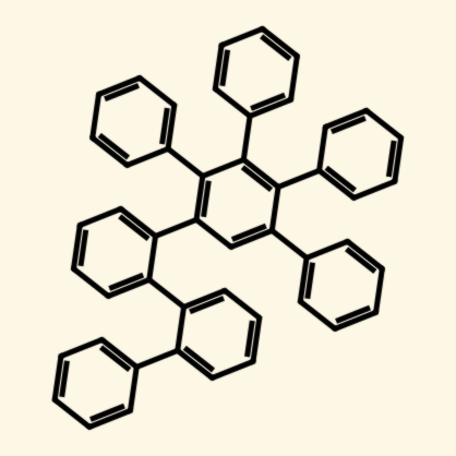 c1ccc(-c2ccccc2-c2ccccc2-c2cc(-c3ccccc3)c(-c3ccccc3)c(-c3ccccc3)c2-c2ccccc2)cc1